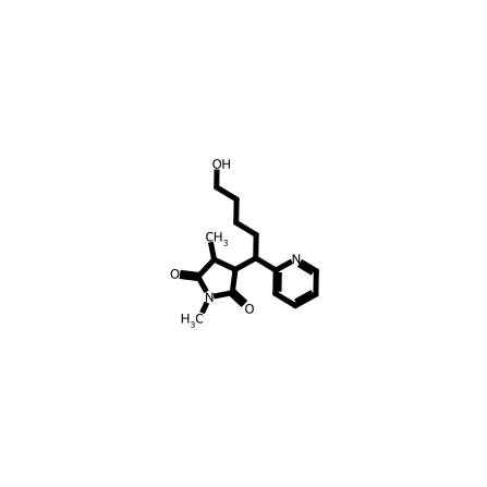 CC1C(=O)N(C)C(=O)C1C(CCCCO)c1ccccn1